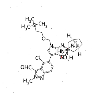 Cn1nc2ccc(-c3cn(COCC[Si](C)(C)C)c4nc(N5[C@@H]6CC[C@H]5C[C@@H](NC(=O)O)C6)cnc34)c(Cl)c2c1C=O